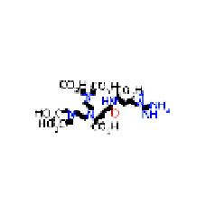 N=C(N)NCCCC(NC(=O)CC[C@@H](C(=O)O)N(CCN(CC(=O)O)CC(=O)O)CCN(CC(=O)O)CC(=O)O)C(=O)O